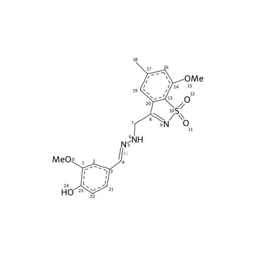 COc1cc(/C=N/NCC2=NS(=O)(=O)c3c(OC)cc(C)cc32)ccc1O